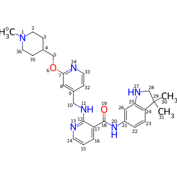 CN1CCC(COc2cc(CNc3ncccc3C(=O)Nc3ccc4c(c3)NCC4(C)C)ccn2)CC1